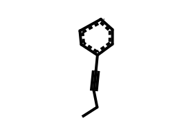 CCC#Cc1cc[c]cc1